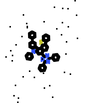 c1ccc(-c2ccc3c(c2)c2c4c(ccc5c6ccccc6sc54)c(-c4nc(-c5ccccc5)nc(-c5ccccc5)n4)cc2n3-c2ccccc2)cc1